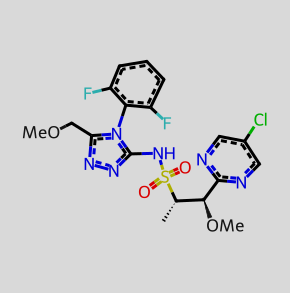 COCc1nnc(NS(=O)(=O)[C@@H](C)[C@H](OC)c2ncc(Cl)cn2)n1-c1c(F)cccc1F